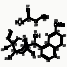 C=C[C@H]1C[N@]2CC[C@H]1C[C@H]2[C@H](O)c1ccnc2ccc(OC)cc12.CC(C)(C)OC(N)=O